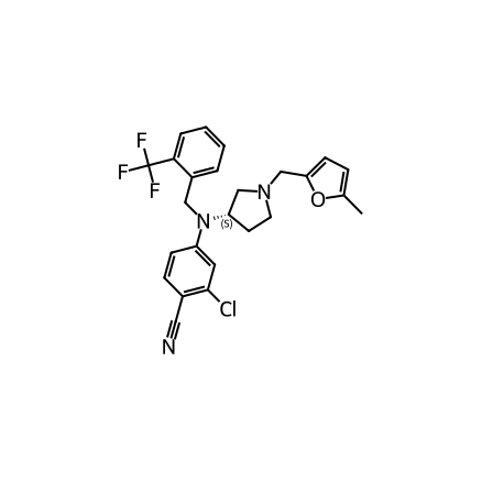 Cc1ccc(CN2CC[C@H](N(Cc3ccccc3C(F)(F)F)c3ccc(C#N)c(Cl)c3)C2)o1